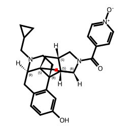 O=C(c1cc[n+]([O-])cc1)N1C[C@H]2C[C@@]34CC[C@@H]1[C@@H]2[C@@]31CCN(CC2CC2)[C@@H]4Cc2ccc(O)cc21